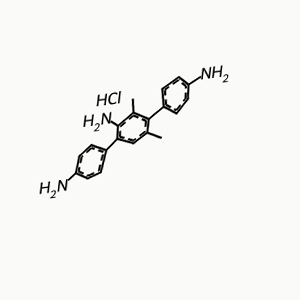 Cc1cc(-c2ccc(N)cc2)c(N)c(C)c1-c1ccc(N)cc1.Cl